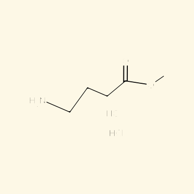 COC(=O)CCCN.Cl.Cl